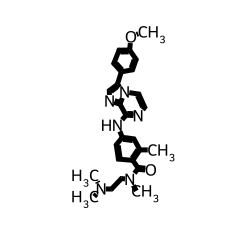 COc1ccc(-c2cnc3c(Nc4ccc(C(=O)N(C)CCN(C)C)c(C)c4)nccn23)cc1